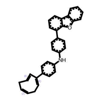 C1=C\C/C=C(c2ccc(Nc3ccc(-c4cccc5c4oc4ccccc45)cc3)cc2)\C=C\C/1